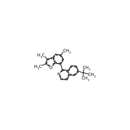 Cc1cc(-c2nccc3cc(C(C)(C)C)ccc23)c2oc(C)c(C)c2c1